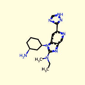 CCN(C)c1nc2cnc(-c3nc[nH]n3)cc2n1[C@@H]1CCC[C@H](N)C1